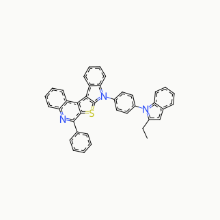 CCc1cc2ccccc2n1-c1ccc(-n2c3ccccc3c3c4c(sc32)c(-c2ccccc2)nc2ccccc24)cc1